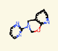 c1cnc(N2COc3ncccc3C2)nc1